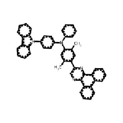 Cc1cc(N(c2ccccc2)c2ccc(-n3c4ccccc4c4ccccc43)cc2)c(C)cc1-c1cnc2c3ccccc3c3ccccc3c2n1